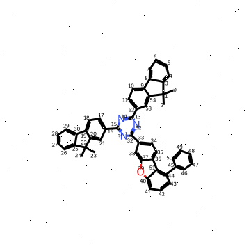 CC1(C)c2ccccc2-c2ccc(-c3nc(-c4ccc5c(c4)C(C)(C)c4ccccc4-5)nc(-c4ccc5c(c4)oc4cccc(-c6ccccc6)c45)n3)cc21